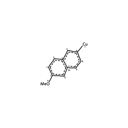 COc1ccc2c[c]([Cu])ccc2c1